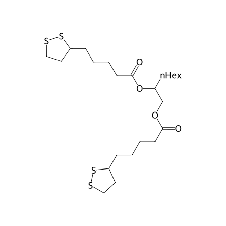 CCCCCCC(COC(=O)CCCCC1CCSS1)OC(=O)CCCCC1CCSS1